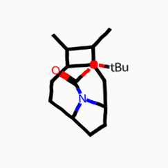 CC1C(C)C2CC3CCC(CCC12)N3C(=O)OC(C)(C)C